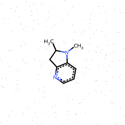 CC1Cc2ncccc2N1C